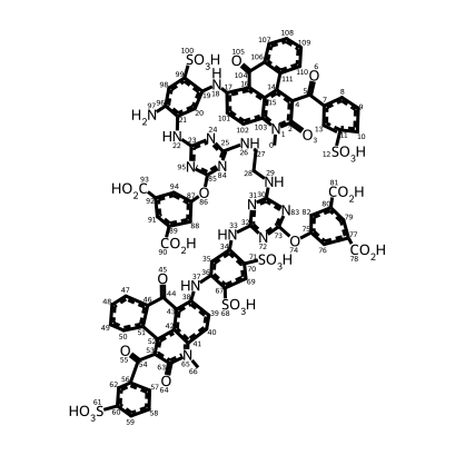 Cn1c(=O)c(C(=O)c2cccc(S(=O)(=O)O)c2)c2c3c(c(Nc4cc(Nc5nc(NCCNc6nc(Nc7cc(Nc8ccc9c%10c8C(=O)c8ccccc8-c%10c(C(=O)c8cccc(S(=O)(=O)O)c8)c(=O)n9C)c(S(=O)(=O)O)cc7S(=O)(=O)O)nc(Oc7cc(C(=O)O)cc(C(=O)O)c7)n6)nc(Oc6cc(C(=O)O)cc(C(=O)O)c6)n5)c(N)cc4S(=O)(=O)O)ccc31)C(=O)c1ccccc1-2